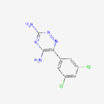 Nc1nnc(-c2cc(Cl)cc(Cl)c2)c(N)n1